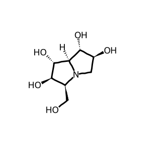 OC[C@H]1[C@@H](O)[C@H](O)[C@H]2[C@H](O)[C@@H](O)CN21